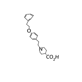 O=C(O)C1CCN(CCc2ccc(OCCc3ccccc3)cc2)CC1